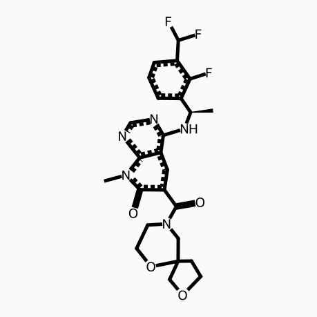 C[C@@H](Nc1ncnc2c1cc(C(=O)N1CCOC3(CCOC3)C1)c(=O)n2C)c1cccc(C(F)F)c1F